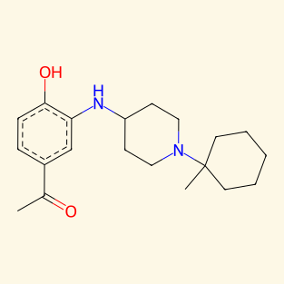 CC(=O)c1ccc(O)c(NC2CCN(C3(C)CCCCC3)CC2)c1